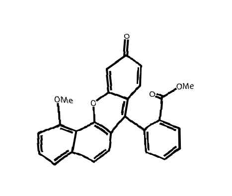 COC(=O)c1ccccc1-c1c2ccc(=O)cc-2oc2c1ccc1cccc(OC)c12